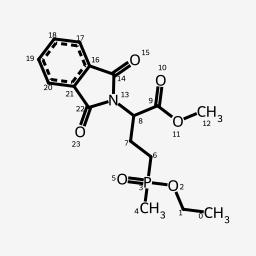 CCOP(C)(=O)CCC(C(=O)OC)N1C(=O)c2ccccc2C1=O